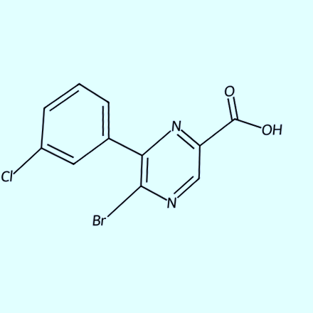 O=C(O)c1cnc(Br)c(-c2cccc(Cl)c2)n1